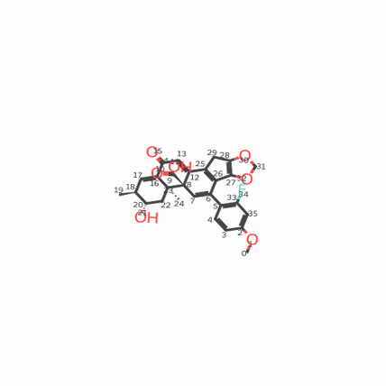 COc1ccc(C2=C[C@@]3(C(=O)O)C(=CC(=O)C4=C[C@H](C)[C@@H](O)C[C@@]43C)C3=C2C2=C(C3)OCO2)c(F)c1